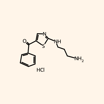 Cl.NCCCNc1ncc(C(=O)c2ccccc2)s1